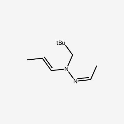 C/C=N\N(/C=C/C)CC(C)(C)C